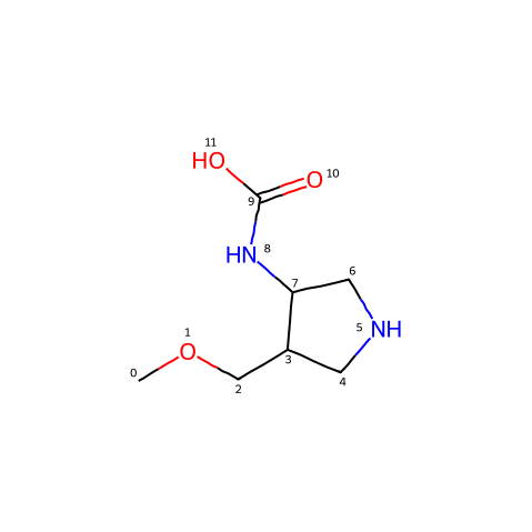 COCC1CNCC1NC(=O)O